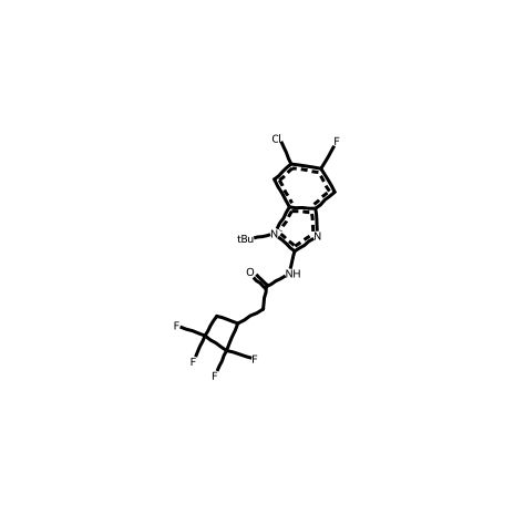 CC(C)(C)n1c(NC(=O)CC2CC(F)(F)C2(F)F)nc2cc(F)c(Cl)cc21